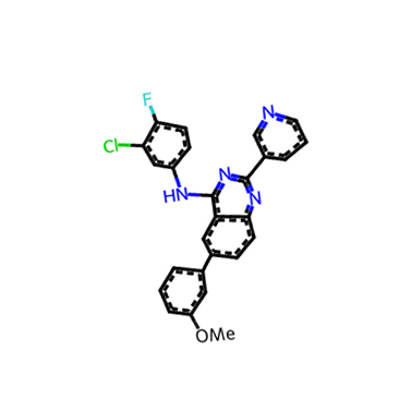 COc1cccc(-c2ccc3nc(-c4cccnc4)nc(Nc4ccc(F)c(Cl)c4)c3c2)c1